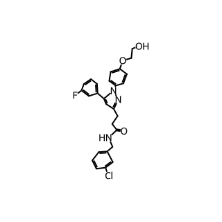 O=C(CCc1cc(-c2cccc(F)c2)n(-c2ccc(OCCO)cc2)n1)NCc1cccc(Cl)c1